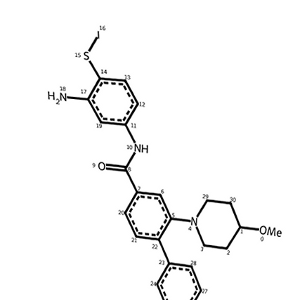 COC1CCN(c2cc(C(=O)Nc3ccc(SI)c(N)c3)ccc2-c2ccccc2)CC1